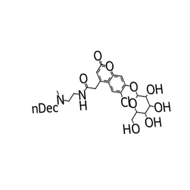 CCCCCCCCCCN(C)CCNC(=O)Cc1cc(=O)oc2cc(OC3OC(CO)C(O)C(O)C3O)c(Cl)cc12